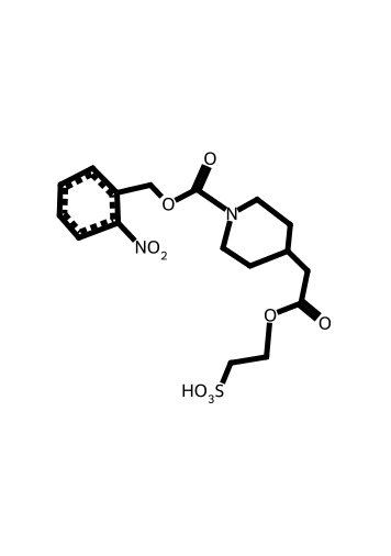 O=C(CC1CCN(C(=O)OCc2ccccc2[N+](=O)[O-])CC1)OCCS(=O)(=O)O